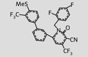 CSc1ccc(-c2cccc(-c3cc(C(F)(F)F)c(C#N)c(=O)n3Cc3ccc(F)cc3F)c2)cc1C(F)(F)F